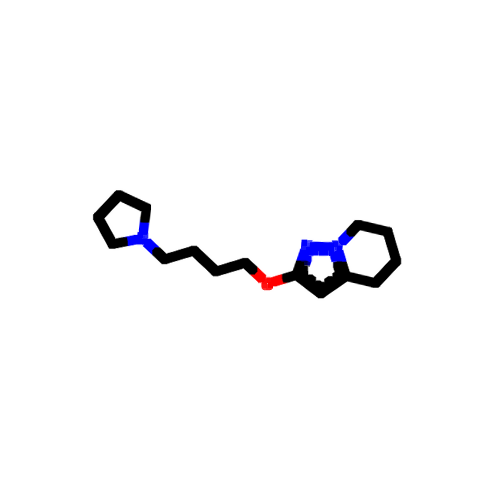 c1c(OCCCCN2CCCC2)nn2c1CCCC2